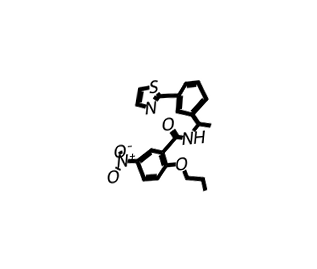 CCCOc1ccc([N+](=O)[O-])cc1C(=O)NC(C)c1cccc(-c2nccs2)c1